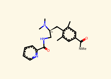 CNC(=O)c1cc(C)c(C[C@@H](CNC(=O)c2ccccn2)N(C)C)c(C)c1